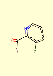 O=C(I)c1ncccc1Cl